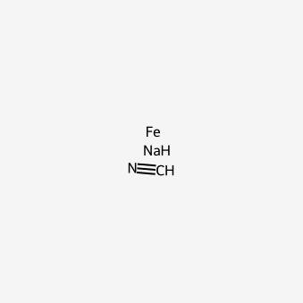 C#N.[Fe].[NaH]